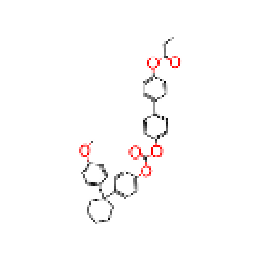 CCC(=O)Oc1ccc(-c2ccc(OC(=O)Oc3ccc(C4(c5ccc(OC)cc5)CCCCC4)cc3)cc2)cc1